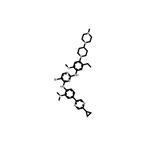 CCc1cc(Nc2ncc(Br)c(Nc3ccc(-c4cnc(C5CC5)cn4)cc3P(C)C)n2)c(OC)cc1N1CCC(N2CCN(C)CC2)CC1